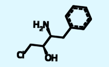 N[C@@H](Cc1ccccc1)[C@@H](O)CCl